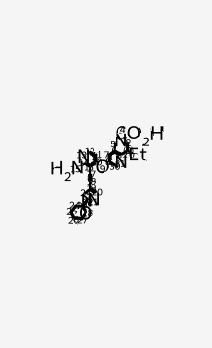 CC[C@H]1CN(C(=O)O)Cc2cc(Oc3ccnc(N)c3C#Cc3cnn(C4CCCCO4)c3)cnc21